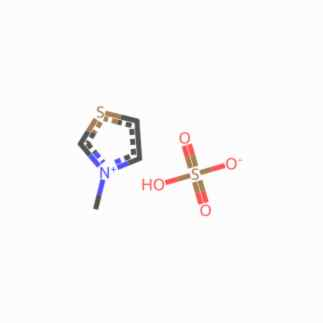 C[n+]1ccsc1.O=S(=O)([O-])O